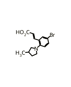 CC1CCN(c2ccc(Br)cc2/C=C/C(=O)O)C1